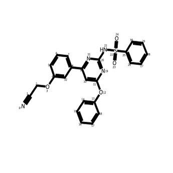 N#CCOc1cccc(-c2cc(Oc3ccccc3)nc(NS(=O)(=O)c3ccccc3)n2)c1